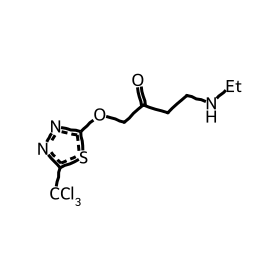 CCNCCC(=O)COc1nnc(C(Cl)(Cl)Cl)s1